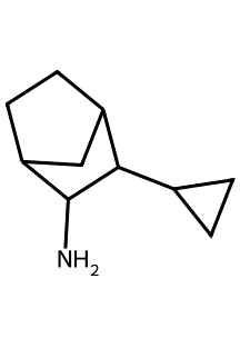 NC1C2CCC(C2)C1C1CC1